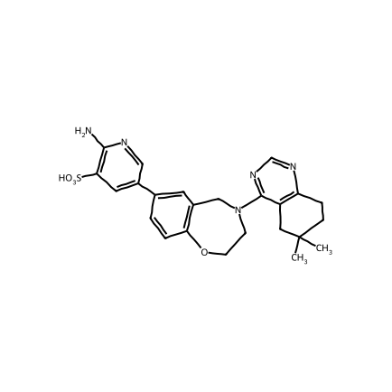 CC1(C)CCc2ncnc(N3CCOc4ccc(-c5cnc(N)c(S(=O)(=O)O)c5)cc4C3)c2C1